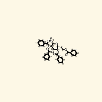 B[C@H]1O[C@H](CCOC(=O)c2ccccc2)[C@@H](OC(=O)c2ccccc2)[C@H](OC(=O)c2ccccc2)[C@H]1OC(=O)c1ccccc1